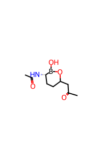 CC(=O)CC1CC[C@H](NC(C)=O)B(O)O1